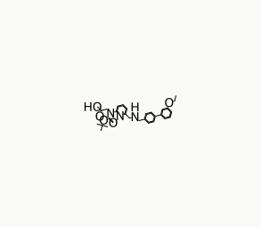 CCOc1cccc(-c2ccc(CNCc3cccc(N(CC(=O)O)C(=O)OC(C)(C)C)n3)cc2)c1